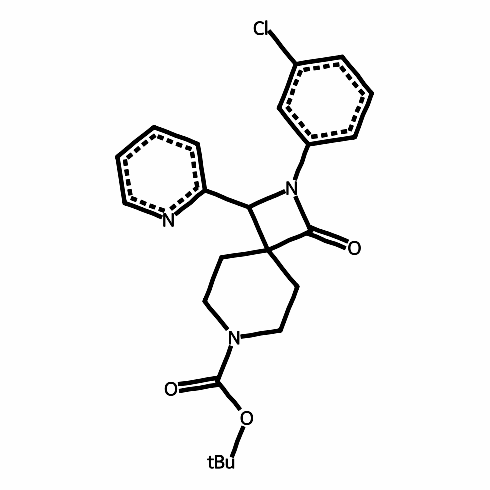 CC(C)(C)OC(=O)N1CCC2(CC1)C(=O)N(c1cccc(Cl)c1)C2c1ccccn1